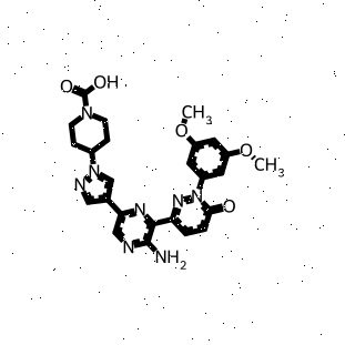 COc1cc(OC)cc(-n2nc(-c3nc(-c4cnn(C5CCN(C(=O)O)CC5)c4)cnc3N)ccc2=O)c1